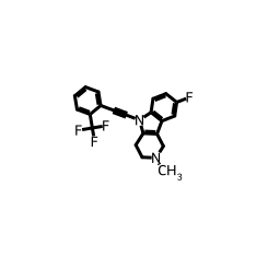 CN1CCc2c(c3cc(F)ccc3n2C#Cc2ccccc2C(F)(F)F)C1